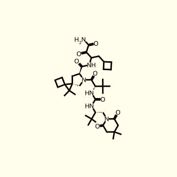 CC1(C)CC(=O)N(C[C@@H](NC(=O)N[C@H](C(=O)N2C[C@]3(C[C@H]2C(=O)NC(CC2CCC2)C(=O)C(N)=O)C(C)(C)C32CCC2)C(C)(C)C)C(C)(C)C)C(=O)C1